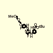 COCCOCCOc1ccc(Nc2ncc(F)c(Nc3cccc(NC(=O)OC(C)(C)C)c3)n2)cc1F